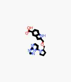 O=C(O)c1ccc2[nH]c(COC[C@H]3CCCN3c3ccnc4ncnn34)cc2c1